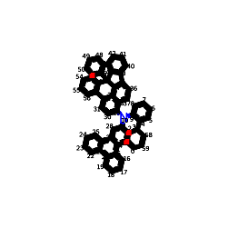 C1=CCC(c2ccccc2N(c2ccc3c4ccccc4c4ccccc4c3c2)c2ccc3c4c5c(ccc24)-c2ccccc2C5(c2ccccc2)c2ccccc2-3)C=C1